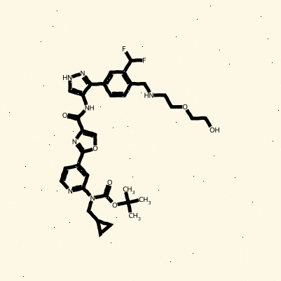 CC(C)(C)OC(=O)N(CC1CC1)c1cc(-c2nc(C(=O)Nc3c[nH]nc3-c3ccc(CNCCOCCO)c(C(F)F)c3)co2)ccn1